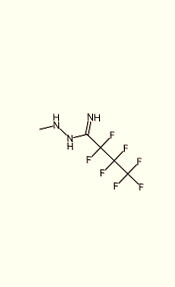 CNNC(=N)C(F)(F)C(F)(F)C(F)(F)F